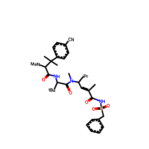 CNC(C(=O)NC(C(=O)N(C)C(/C=C(\C)C(=O)NS(=O)(=O)Cc1ccccc1)C(C)C)C(C)(C)C)C(C)(C)c1ccc(C#N)cc1